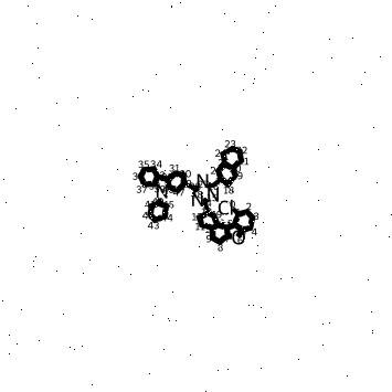 Clc1cccc2oc3ccc4ccc(-c5nc(-c6ccc7ccccc7c6)nc(-c6ccc7c8ccccc8n(-c8ccccc8)c7c6)n5)cc4c3c12